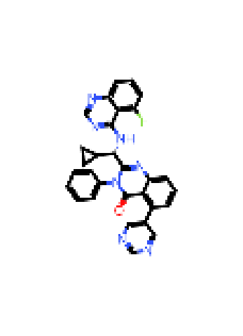 O=c1c2c(-c3cncnc3)cccc2nc([C@@H](Nc2ncnc3cccc(F)c23)C2CC2)n1-c1ccccc1